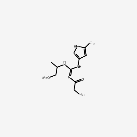 COCC(C)N/C(=N/C(=O)CC(C)(C)C)Nc1cc(C(F)(F)F)[nH]n1